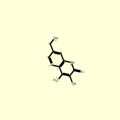 Cc1c(C#N)c(=O)[nH]c2cc(CO)cnc12